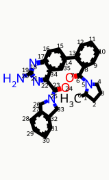 CC1CCCN1C(=O)c1ccccc1-c1ccc2nc(N)nc(C(=O)N3Cc4ccccc4C3)c2c1